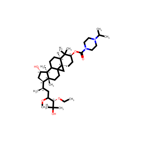 CCO[C@@H](C(C[C@@H](C)[C@H]1C[C@H](O)[C@@]2(C)C3CC[C@H]4C(C)(C)[C@@H](OC(=O)N5CCN(C(C)C)CC5)CC[C@@]45CC35CC[C@]12C)OC)C(C)(C)O